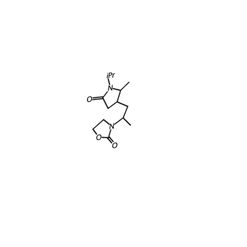 CC(CC1CC(=O)N(C(C)C)C1C)N1CCOC1=O